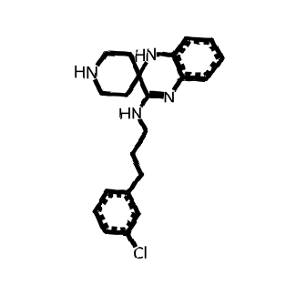 Clc1cccc(CCCNC2=Nc3ccccc3NC23CCNCC3)c1